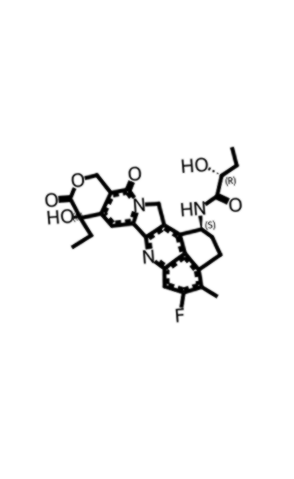 CC[C@@H](O)C(=O)N[C@H]1CCc2c(C)c(F)cc3nc4c(c1c23)Cn1c-4cc2c(c1=O)COC(=O)[C@]2(O)CC